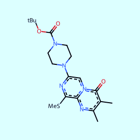 CSc1nc(N2CCN(C(=O)OC(C)(C)C)CC2)cn2c(=O)c(C)c(C)nc12